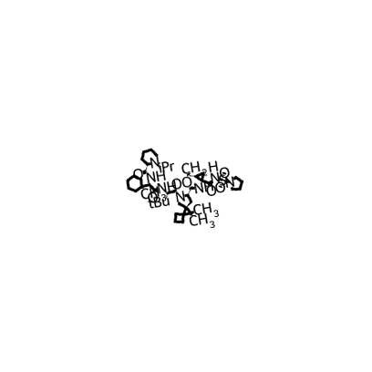 C=C[C@@H]1C[C@]1(NC(=O)[C@@H]1C[C@@]2(CN1C(=O)[C@@H](NC(=O)[C@@H](NC(=O)[C@@H]1CCCCN1C(C)C)C1(C)CCCCC1)C(C)(C)C)C(C)(C)C21CCC1)C(=O)NS(=O)(=O)N1CCCC1